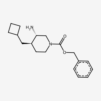 N[C@@H]1CN(C(=O)OCc2ccccc2)CC[C@H]1CC1CCC1